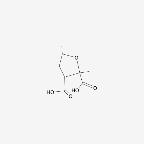 CC1CC(C(=O)O)C(C)(C(=O)O)O1